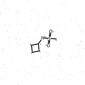 CS(=O)(=O)[N]C1CCC1